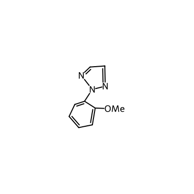 COc1ccccc1-n1nccn1